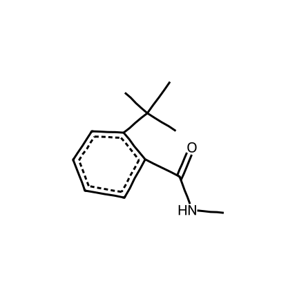 CNC(=O)c1ccccc1C(C)(C)C